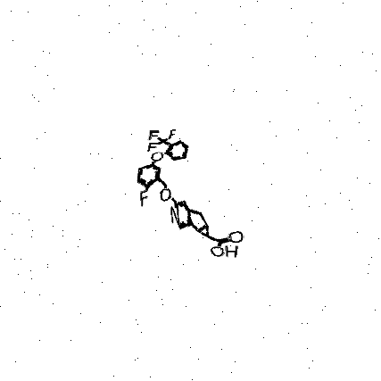 O=C(O)C1C2Cc3cc(OCc4cc(Oc5ccccc5C(F)(F)F)ccc4F)ncc3C21